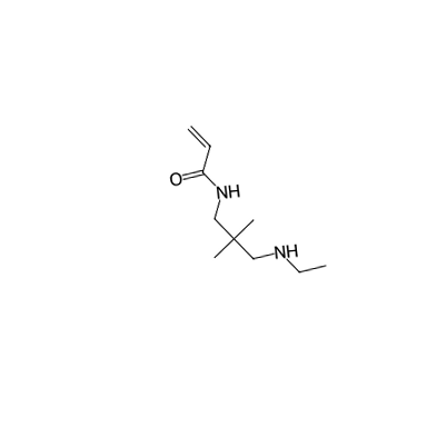 C=CC(=O)NCC(C)(C)CNCC